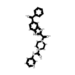 O=C(c1ccccc1)c1ccc2[nH]c(C(=O)N3CCN(C(=O)Oc4cccnc4)CC3)nc2c1